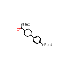 CCCCCCC(=O)C1CCC(c2ccc(CCCCC)cc2)CC1